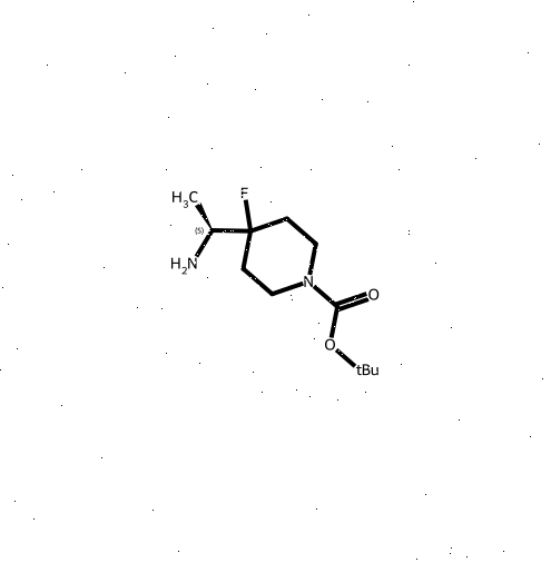 C[C@H](N)C1(F)CCN(C(=O)OC(C)(C)C)CC1